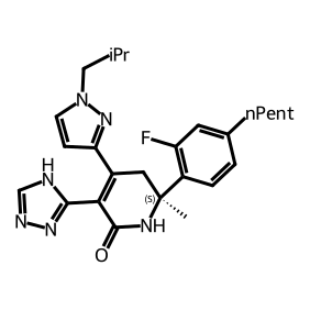 CCCCCc1ccc([C@]2(C)CC(c3ccn(CC(C)C)n3)=C(c3nnc[nH]3)C(=O)N2)c(F)c1